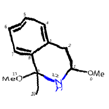 COC1Cc2ccccc2C(C)(OC)N1